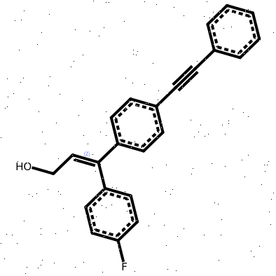 OC/C=C(\c1ccc(F)cc1)c1ccc(C#Cc2ccccc2)cc1